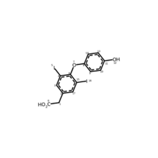 O=C(O)Cc1cc(I)c(Oc2ccc(O)cc2)c(I)c1